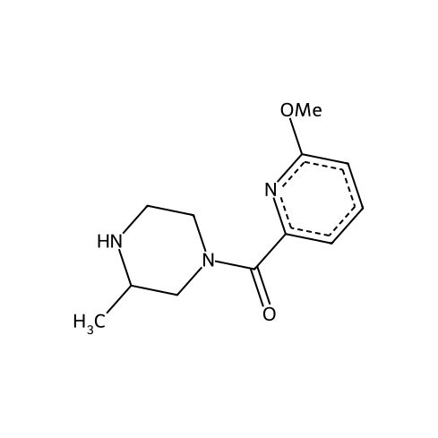 COc1cccc(C(=O)N2CCNC(C)C2)n1